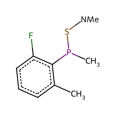 CNSP(C)c1c(C)cccc1F